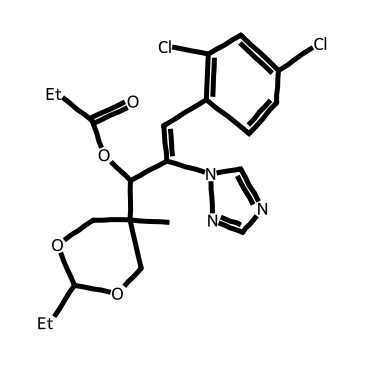 CCC(=O)OC(/C(=C/c1ccc(Cl)cc1Cl)n1cncn1)C1(C)COC(CC)OC1